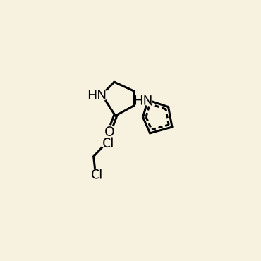 ClCCl.O=C1CCCN1.c1cc[nH]c1